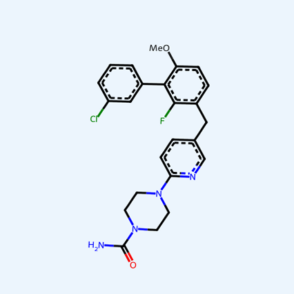 COc1ccc(Cc2ccc(N3CCN(C(N)=O)CC3)nc2)c(F)c1-c1cccc(Cl)c1